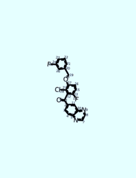 O=C(c1ccc2nccnc2c1)c1c(F)ccc(OCc2cccc(F)c2)c1Cl